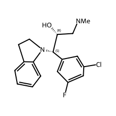 CNC[C@@H](O)[C@H](c1cc(F)cc(Cl)c1)N1CCc2ccccc21